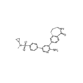 CN(C1CC1)S(=O)(=O)c1ccc(-c2cnc(N)c(-c3ccc4c(c3)CCCNC4=O)c2)cc1